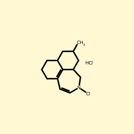 CC1CC2CCCC3=C2C(C1)CN(Cl)C=C3.Cl